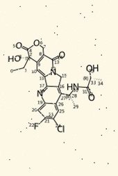 CC[C@@]1(O)C(=O)OCc2c1cc1n(c2=O)Cc2c-1nc1cc(F)c(Cl)cc1c2[C@@H](C)NC(=O)[C@@H](C)O